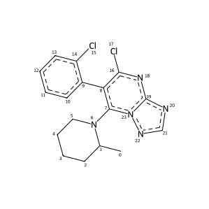 CC1CCCCN1c1c(-c2ccccc2Cl)c(Cl)nc2ncnn12